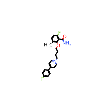 Cc1ccc(F)c(C(N)=O)c1OCCCCN1CC=C(c2ccc(F)cc2)CC1